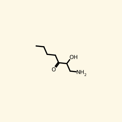 CCCCC(=O)C(O)CN